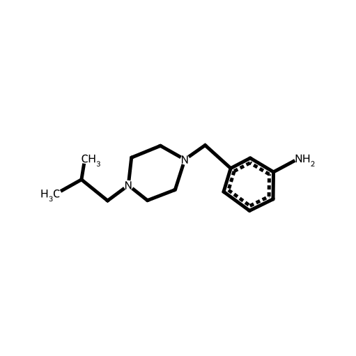 CC(C)CN1CCN(Cc2cccc(N)c2)CC1